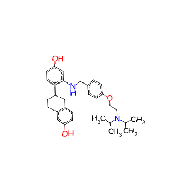 CC(C)N(CCOc1ccc(CNc2cc(O)ccc2C2CCc3cc(O)ccc3C2)cc1)C(C)C